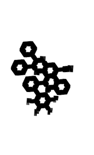 N#Cc1cc2nc(-c3ccccc3)c(-c3ccccc3)nc2c2c(-c3ccccc3-c3c(F)c(F)c(F)c(F)c3F)nc3ccccc3c12